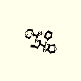 B/C(=N\C=C(/CC#C)c1nc2ccncc2n1-c1ccccc1)N1CCOCC1